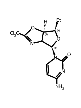 CC[C@H]1O[C@@H](n2ccc(N)nc2=O)C2N=C(C(Cl)(Cl)Cl)O[C@H]21